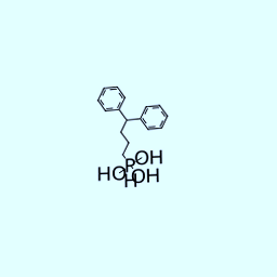 O[PH](O)(O)CCCC(c1ccccc1)c1ccccc1